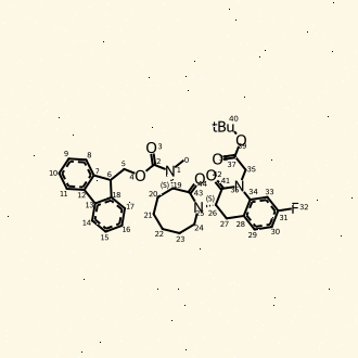 CN(C(=O)OCC1c2ccccc2-c2ccccc21)[C@H]1CCCCCN([C@H]2Cc3ccc(F)cc3N(CC(=O)OC(C)(C)C)C2=O)C1=O